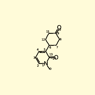 Cn1cccc(C2CCC(=O)CC2)c1=O